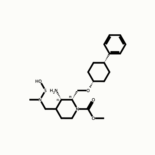 COC(=O)N1CCC(CN(C)SO)[C@H](N)[C@@H]1CO[C@H]1CC[C@@H](c2ccccc2)CC1